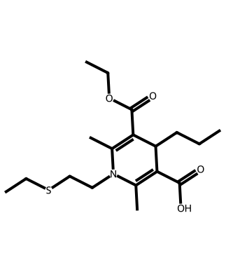 CCCC1C(C(=O)O)=C(C)N(CCSCC)C(C)=C1C(=O)OCC